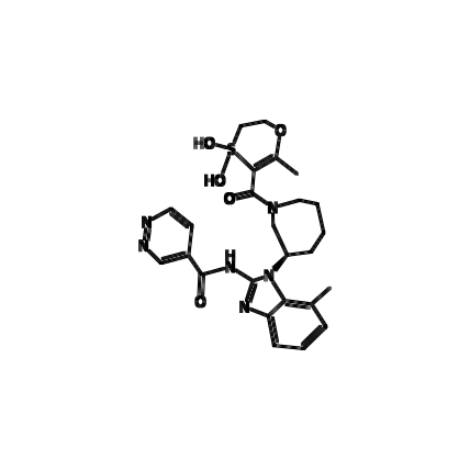 CC1=C(C(=O)N2CCCC[C@@H](n3c(NC(=O)c4ccnnc4)nc4cccc(C)c43)C2)S(O)(O)CCO1